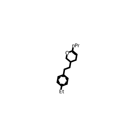 CCCC1=CCC(CCc2ccc(CC)cc2)CO1